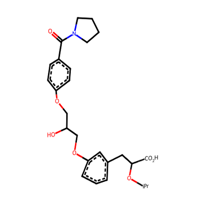 CC(C)OC(Cc1cccc(OCC(O)COc2ccc(C(=O)N3CCCC3)cc2)c1)C(=O)O